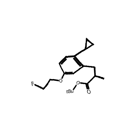 CC(Cc1cc(OCCF)ccc1C1CC1)C(=O)OC(C)(C)C